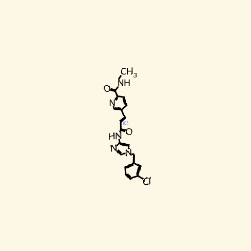 CCNC(=O)c1ccc(/C=C/C(=O)Nc2cn(Cc3cccc(Cl)c3)cn2)cn1